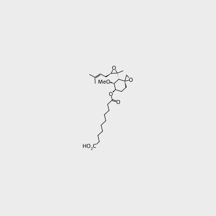 CO[C@H]1[C@H](C2(C)O[C@@H]2CC=C(C)C)[C@]2(CC[C@H]1OC(=O)CCCCCCCCC(=O)O)CO2